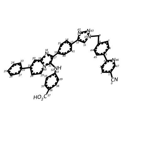 N#Cc1ccc(-c2ccc(Cn3cc(-c4ccc(-c5nc6cc(-c7ccccc7)ccn6c5Nc5ccc(C(=O)O)cc5)cc4)nn3)cc2)nc1